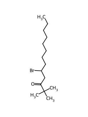 CCCCCCCCC(Br)CC(=O)C(C)(C)C